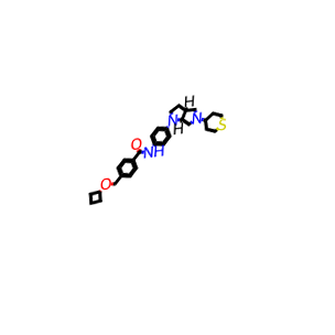 O=C(Nc1ccc(N2CC[C@@H]3CN(C4CCSCC4)C[C@@H]32)cc1)c1ccc(COC2CCC2)cc1